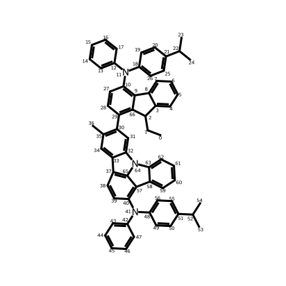 CCC1c2ccccc2-c2c(N(c3ccccc3)c3ccc(C(C)C)cc3)ccc(-c3cc4c(cc3C)c3ccc(N(c5ccccc5)c5ccc(C(C)C)cc5)c5c6ccccc6n4c35)c21